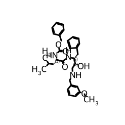 COc1cccc(CNC[C@@H](O)[C@H](Cc2ccccc2)NC(=O)[C@H](CC(C)C)NC(=O)OCc2ccccc2)c1